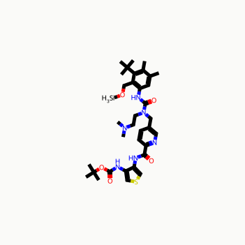 Cc1cc(NC(=O)N(CCN(C)C)Cc2ccc(C(=O)Nc3cscc3NC(=O)OC(C)(C)C)nc2)c(CO[SiH3])c(C(C)(C)C)c1C